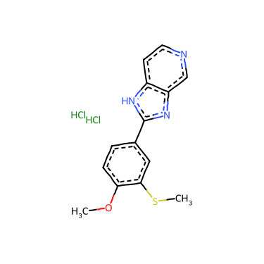 COc1ccc(-c2nc3cnccc3[nH]2)cc1SC.Cl.Cl